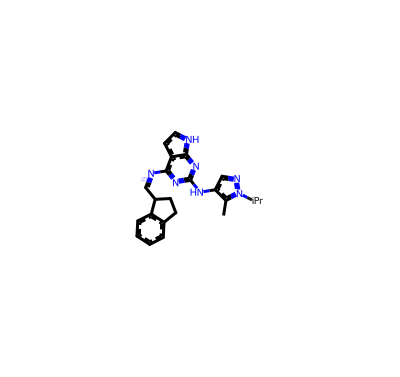 Cc1c(Nc2nc(/N=C\C3CCc4ccccc43)c3cc[nH]c3n2)cnn1C(C)C